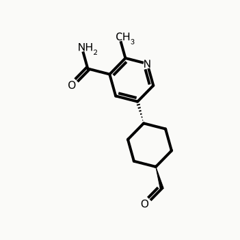 Cc1ncc([C@H]2CC[C@H](C=O)CC2)cc1C(N)=O